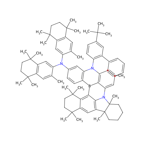 Cc1cc2c3c(c1)N1c4c(cc5c(c4B3c3ccc(N(c4cc6c(cc4C)C(C)(C)CCC6(C)C)c4cc6c(cc4C)C(C)(C)CCC6(C)C)cc3N2c2ccc(C(C)(C)C)cc2-c2ccccc2)C(C)(C)CCC5(C)C)C2(C)CCCCC12C